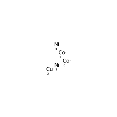 [Co].[Co].[Cu].[Ni].[Ni]